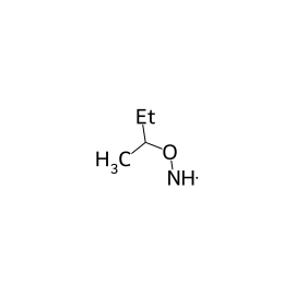 CCC(C)O[NH]